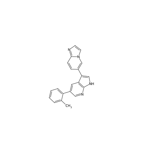 Cc1ccccc1-c1cnc2[nH]cc(-c3ccc4nccn4c3)c2c1